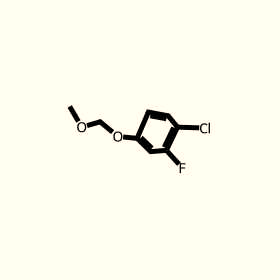 COCOc1ccc(Cl)c(F)c1